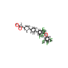 O=C1CC(C2CCC(c3ccc(-c4cc(F)c(C(F)(F)Oc5cc(F)c(F)c(F)c5)c(F)c4)cc3)CC2)O1